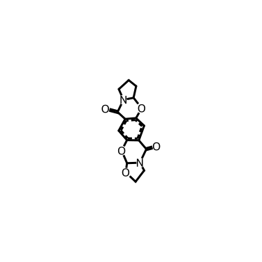 O=C1c2cc3c(cc2OC2CCCN12)C(=O)N1CCOC1O3